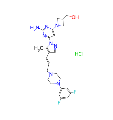 Cc1c(C=CCN2CCN(c3cc(F)cc(F)c3)CC2)cnn1-c1cc(N2CC(CO)C2)nc(N)n1.Cl